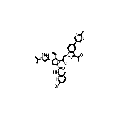 C=C[C@@H]1[C@@H](c2cn(C(C)C)nn2)C[C@@H](C(=O)Nc2nc(Br)ccc2C)N1C(=O)Cn1nc(C(C)=O)c2cc(-c3cnc(C)nc3)ccc21